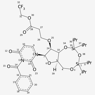 CC(C)[Si]1(C(C)C)OC[C@H]2O[C@@H](n3ccc(=O)n(C(=O)c4ccccc4)c3=O)[C@@H](OCCC(=O)OCC(F)(F)F)C2O[Si](C(C)C)(C(C)C)O1